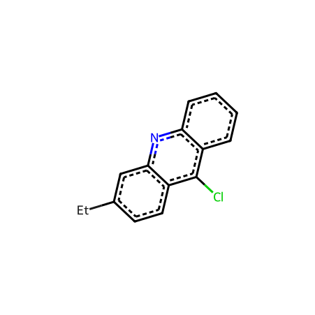 CCc1ccc2c(Cl)c3ccccc3nc2c1